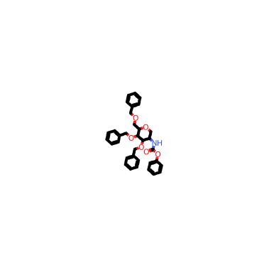 O=C(NC1COC(COCc2ccccc2)C(OCc2ccccc2)C1OCc1ccccc1)Oc1ccccc1